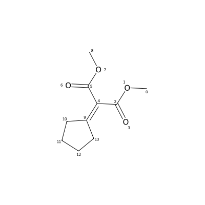 COC(=O)C(C(=O)OC)=C1CCCC1